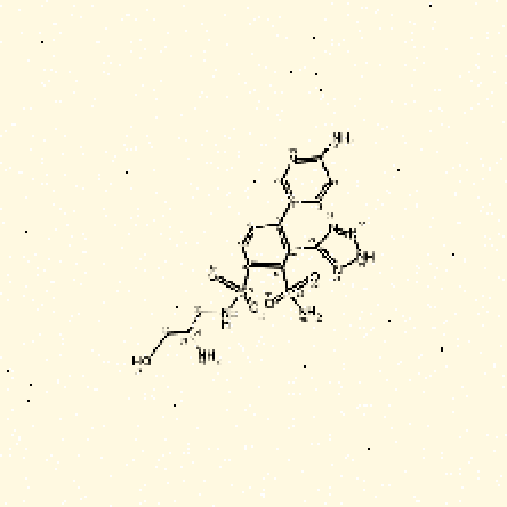 Nc1ccc(-c2ccc(S(=O)(=O)NC[C@H](N)CO)c(S(N)(=O)=O)c2-c2nn[nH]n2)cn1